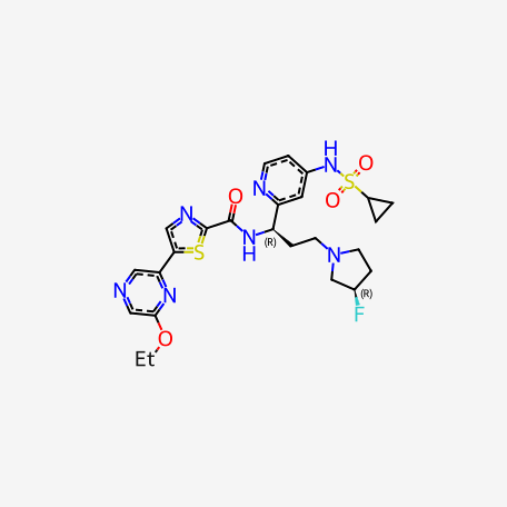 CCOc1cncc(-c2cnc(C(=O)N[C@H](CCN3CC[C@@H](F)C3)c3cc(NS(=O)(=O)C4CC4)ccn3)s2)n1